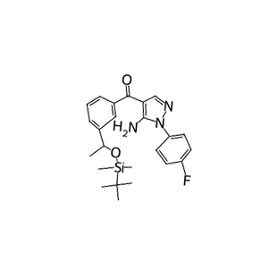 CC(O[Si](C)(C)C(C)(C)C)c1cccc(C(=O)c2cnn(-c3ccc(F)cc3)c2N)c1